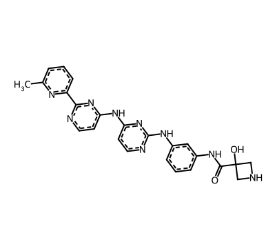 Cc1cccc(-c2nccc(Nc3ccnc(Nc4cccc(NC(=O)C5(O)CNC5)c4)n3)n2)n1